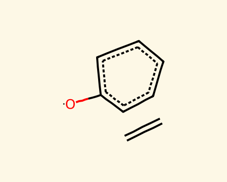 C=C.[O]c1ccccc1